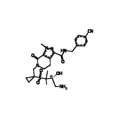 Cn1nc(C(=O)NCc2ccc(C#N)cc2)c2c1C(=O)N(CC1(S(=O)(=O)C(C)(C)[C@H](O)CN)CC1)CC2